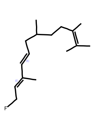 CC(C)=C(C)CCC(C)C/C=C/C(C)=C/CF